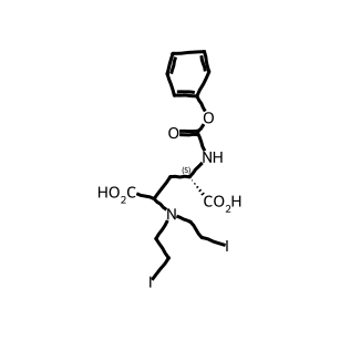 O=C(N[C@@H](CC(C(=O)O)N(CCI)CCI)C(=O)O)Oc1ccccc1